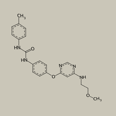 COCCNc1cc(Oc2ccc(NC(=O)Nc3ccc(C)cc3)cc2)ncn1